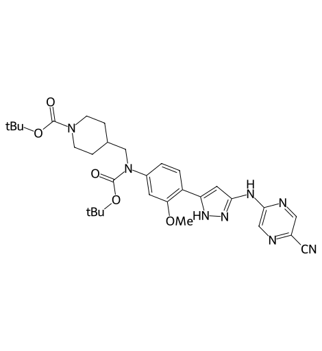 COc1cc(N(CC2CCN(C(=O)OC(C)(C)C)CC2)C(=O)OC(C)(C)C)ccc1-c1cc(Nc2cnc(C#N)cn2)n[nH]1